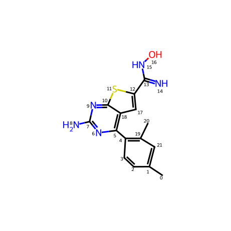 Cc1ccc(-c2nc(N)nc3sc(C(=N)NO)cc23)c(C)c1